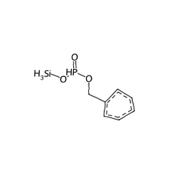 O=[PH](O[SiH3])OCc1ccccc1